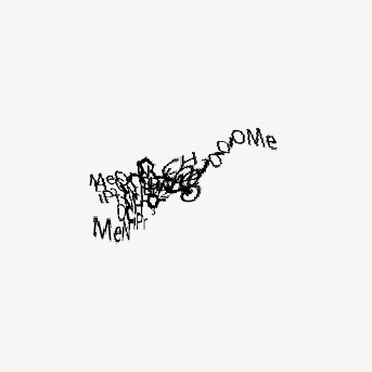 C=C([C@@H](NC(=O)[C@@H](NC)C(C)C)C(C)C)N(C)[C@@H]([C@@H](C)CC)[C@@H](CC(=C)N1CCC[C@H]1[C@H](OC)[C@@H](C)C(=O)N[C@@H](Cc1ccccc1)C(=O)OCCOCCOCCOC)OC